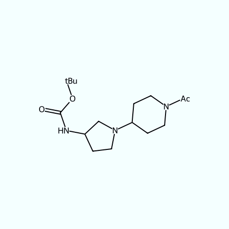 CC(=O)N1CCC(N2CCC(NC(=O)OC(C)(C)C)C2)CC1